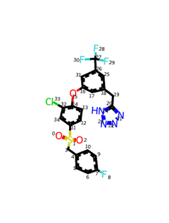 O=S(=O)(Cc1ccc(F)cc1)c1ccc(Oc2cc(Cc3nnn[nH]3)cc(C(F)(F)F)c2)c(Cl)c1